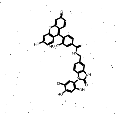 O=C(NCc1ccc2c(c1)[nH]c(=O)n2-c1cc(Cl)c(O)cc1O)c1ccc(-c2c3ccc(=O)cc-3oc3cc(O)ccc23)c(C(=O)O)c1